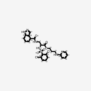 O=C(NCC(NS(=O)(=O)c1c(Cl)cccc1Cl)C(=O)OCCCNc1ccccn1)c1cccc2[nH]ncc12